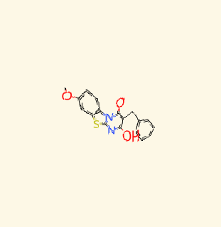 COc1ccc2c(c1)sc1nc(O)c(Cc3ccccc3)c(=O)n12